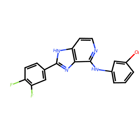 Oc1cccc(Nc2nccc3[nH]c(-c4ccc(F)c(F)c4)nc23)c1